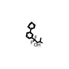 CC(C)C(O)C(F)(F)c1cccc(-c2ccccc2)c1